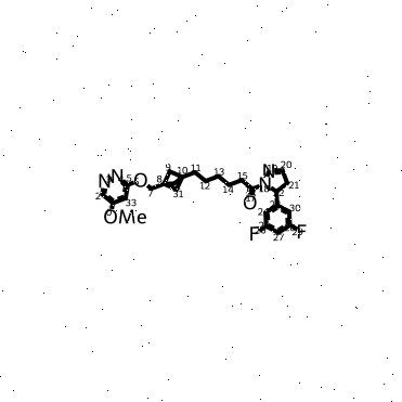 COc1cnnc(OCC23CC(CCCCCC(=O)N4N=CCC4c4cc(F)cc(F)c4)(C2)C3)c1